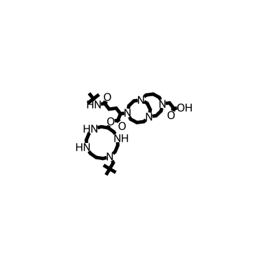 CC(C)(C)CN1CCCNCCNCC(OC(=O)C(CCC(=O)NC(C)(C)C)N2CCCN3CCN(CCCN(CC(=O)O)CC3)CC2)CNCC1